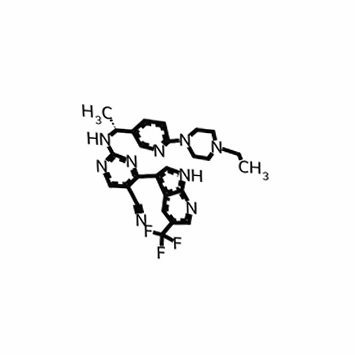 CCN1CCN(c2ccc([C@@H](C)Nc3ncc(C#N)c(-c4c[nH]c5ncc(C(F)(F)F)cc45)n3)cn2)CC1